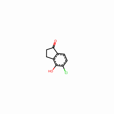 O=C1CCc2c1ccc(Cl)c2O